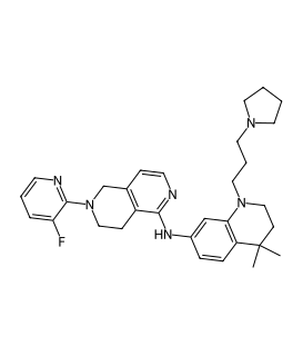 CC1(C)CCN(CCCN2CCCC2)c2cc(Nc3nccc4c3CCN(c3ncccc3F)C4)ccc21